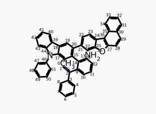 C/C=C(/c1ccccc1)c1ccccc1-c1cc2c(cc1-c1ccc3c(oc4ccc5ccccc5c43)c1N)c1ccccc1n2-c1ccccc1